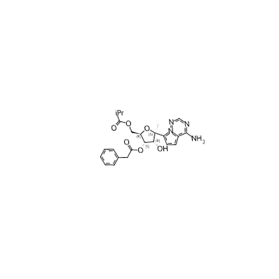 CC(C)C(=O)OC[C@H]1O[C@@](C)(c2ccc3c(N)ncnn23)[C@H](O)[C@@H]1OC(=O)Cc1ccccc1